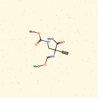 C#CC(CNC(=O)OC(C)(C)C)(/N=C/OOC)C(=O)OC